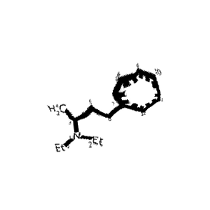 CCN(CC)C(C)CCc1ccccc1